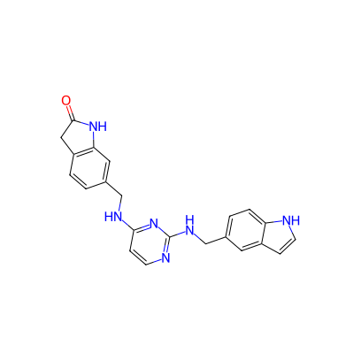 O=C1Cc2ccc(CNc3ccnc(NCc4ccc5[nH]ccc5c4)n3)cc2N1